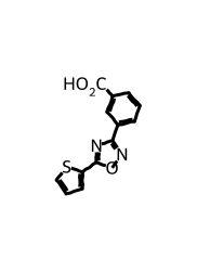 O=C(O)c1cccc(-c2noc(-c3cccs3)n2)c1